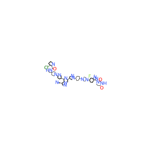 CCC1(NC(=O)c2ncccc2Cl)CCN(c2ccc(-c3nc(-c4cnn(C5CCC(N6CCN(c7ccc8c(N9CCC(=O)NC9=O)nn(C)c8c7F)CC6)CC5)c4)cn4ncc(C#N)c34)cn2)CC1